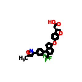 Cc1cc(-c2ccc(-c3c(C(F)(F)F)ccc4c3CC[C@H]4Oc3ccc4c(c3)OC[C@H]4CC(=O)O)cc2)no1